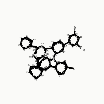 Cc1ccc2c3ccccc3n(-c3cc(-c4cc(F)cc(F)c4)ccc3-c3nc(-c4ccccc4)nc(-c4ccccc4)n3)c2c1